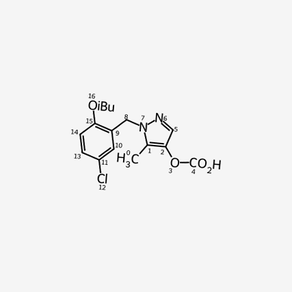 Cc1c(OC(=O)O)cnn1Cc1cc(Cl)ccc1OCC(C)C